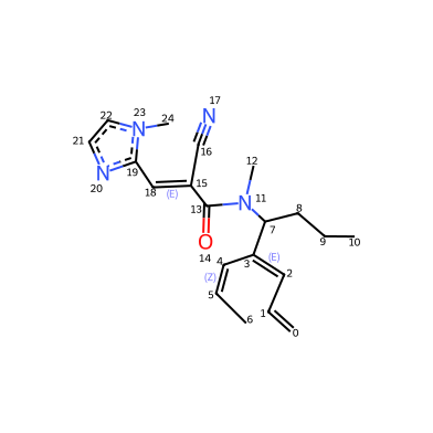 C=C/C=C(\C=C/C)C(CCC)N(C)C(=O)/C(C#N)=C/c1nccn1C